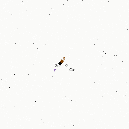 [Cu].[I-].[K+].[S]=[Zn]